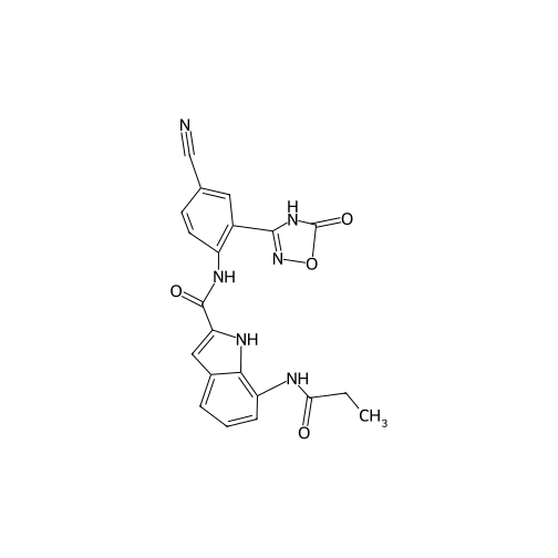 CCC(=O)Nc1cccc2cc(C(=O)Nc3ccc(C#N)cc3-c3noc(=O)[nH]3)[nH]c12